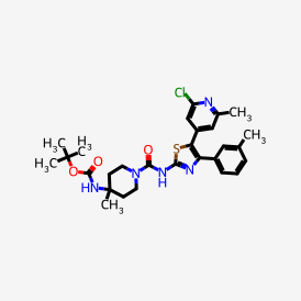 Cc1cccc(-c2nc(NC(=O)N3CCC(C)(NC(=O)OC(C)(C)C)CC3)sc2-c2cc(C)nc(Cl)c2)c1